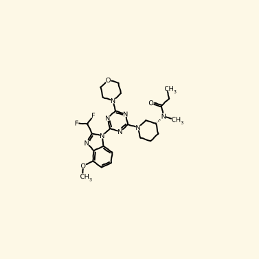 CCC(=O)N(C)[C@@H]1CCCN(c2nc(N3CCOCC3)nc(-n3c(C(F)F)nc4c(OC)cccc43)n2)C1